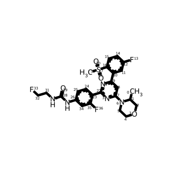 CC1COCCN1c1cc(-c2cc(F)ccc2S(C)(=O)=O)nc(-c2ccc(NC(=O)NCCF)cc2F)n1